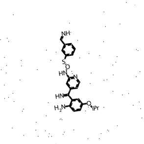 CC(C)Oc1ccc(N)c(C(=N)c2ccnc(NOSc3cccc(C=N)c3)c2)c1